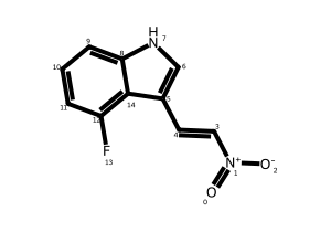 O=[N+]([O-])C=Cc1c[nH]c2cccc(F)c12